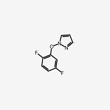 Fc1ccc(F)c(On2cc[c]n2)c1